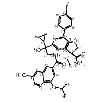 Cc1cnc2c(OC(F)F)cc(C(=O)NCC(O)(c3cc4c(c(-c5ccc(F)cc5)n3)OC[C@@]4(CF)C(N)=O)C3CC3)cc2c1